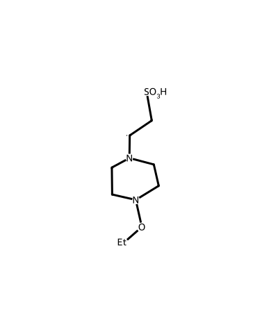 CCON1CCN([CH]CS(=O)(=O)O)CC1